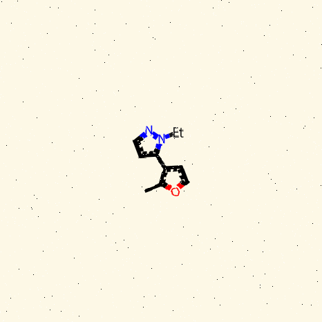 CCn1nccc1-c1ccoc1C